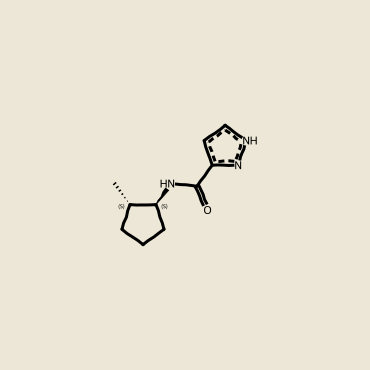 C[C@H]1CCC[C@@H]1NC(=O)c1cc[nH]n1